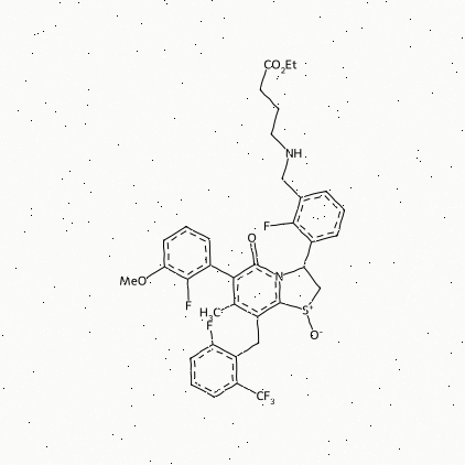 CCOC(=O)CCCNCc1cccc(C2C[S+]([O-])c3c(Cc4c(F)cccc4C(F)(F)F)c(C)c(-c4cccc(OC)c4F)c(=O)n32)c1F